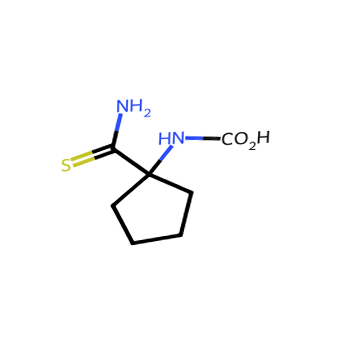 NC(=S)C1(NC(=O)O)CCCC1